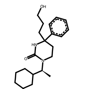 C[C@@H](C1CCCCC1)N1CCC(CCCO)(c2ccccc2)NC1=O